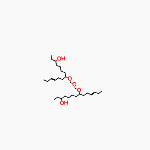 CCC=CCCC(CCCCC(O)CC)OCOCOC(CCC=CCC)CCCCC(O)CC